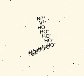 [Fe+2].[Ni+2].[OH-].[OH-].[OH-].[OH-].[OH-].[OH-].[OH-].[OH-].[OH-].[V+5]